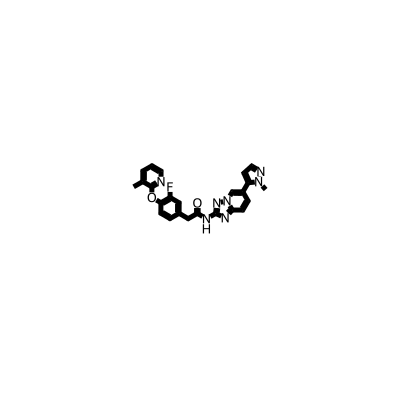 Cc1cccnc1Oc1ccc(CC(=O)Nc2nc3ccc(-c4ccnn4C)cn3n2)cc1F